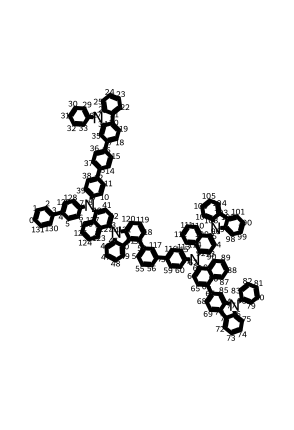 c1ccc(-c2ccc(N(c3ccc(-c4ccc(-c5ccc6c7ccccc7n(-c7ccccc7)c6c5)cc4)cc3)c3ccc(-n4c5ccccc5c5c(-c6cccc(-c7ccc(N(c8ccc(-c9ccc%10c%11ccccc%11n(-c%11ccccc%11)c%10c9)c9ccccc89)c8ccc(-n9c%10ccccc%10c%10ccccc%109)c9ccccc89)cc7)c6)cccc54)c4ccccc34)cc2)cc1